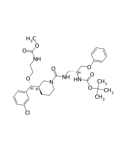 COC(=O)NCCO[C@@H](c1cccc(Cl)c1)[C@@H]1CCCN(C(=O)NC[C@H](COc2ccccc2)NC(=O)OC(C)(C)C)C1